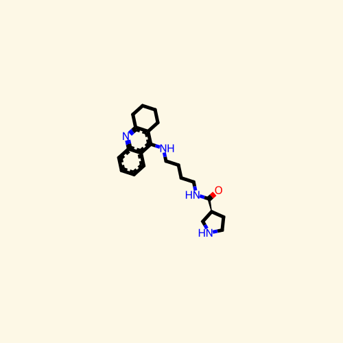 O=C(NCCCCNc1c2c(nc3ccccc13)CCCC2)[C@H]1CCNC1